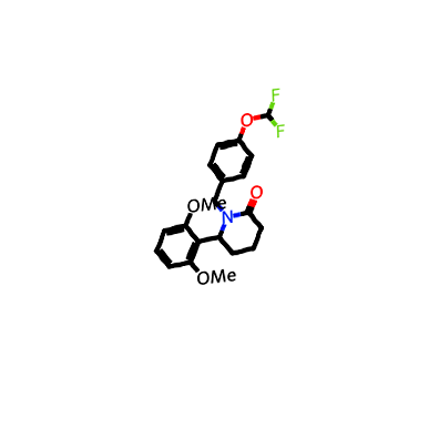 COc1cccc(OC)c1C1CCCC(=O)N1Cc1ccc(OC(F)F)cc1